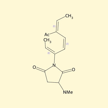 C\C=C(/C=C\C(=C/C)N1C(=O)CC(NC)C1=O)C(C)=O